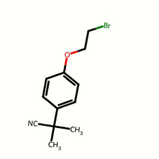 CC(C)(C#N)c1ccc(OCCBr)cc1